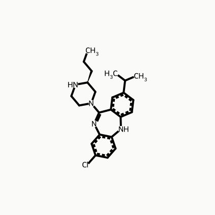 CCC[C@H]1CN(C2=Nc3cc(Cl)ccc3Nc3ccc(C(C)C)cc32)CCN1